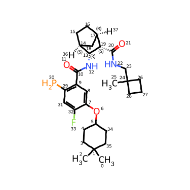 CC1(C)CCC(Oc2cc(C(=O)N[C@@H]3[C@H]4CC[C@H](C4)[C@@H]3C(=O)NCC3(C)CCC3)c(P)cc2F)CC1